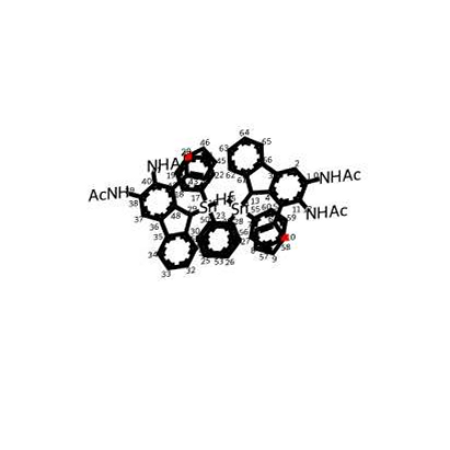 CC(=O)Nc1cc2c(c(C3=CC=CC3)c1NC(C)=O)[CH]([Sn]([Hf][Sn]([c]1ccccc1)([c]1ccccc1)[CH]1c3ccccc3-c3cc(NC(C)=O)c(NC(C)=O)c(C4=CC=CC4)c31)([c]1ccccc1)[c]1ccccc1)c1ccccc1-2